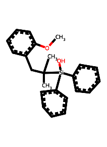 COc1ccccc1CC(C)(C)[Si](O)(c1ccccc1)c1ccccc1